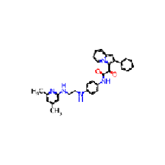 Cc1cc(C)nc(NCCNc2ccc(NC(=O)C(=O)c3c(-c4ccccc4)cc4ccccn34)cc2)c1